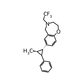 C[C@@H]1C(c2ccccc2)[C@H]1c1ccc2c(c1)CN(CC(F)(F)F)CCO2